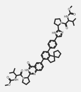 COC(=O)NC(C(=O)N1CCCC1c1ncc(-c2ccc(-c3ccc(-c4ccc5nc(C6CCCN6C(=O)C(NC(=O)OC)C(C)C)[nH]c(=O)c5c4)c4c3C3(CCCC3)CC4)cc2)[nH]1)C(C)C